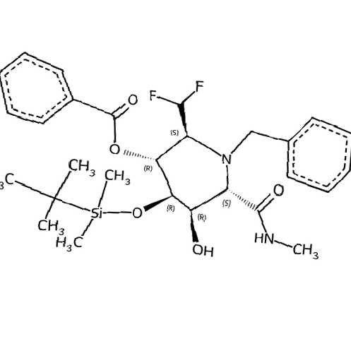 CNC(=O)[C@@H]1[C@@H](O)[C@@H](O[Si](C)(C)C(C)(C)C)[C@H](OC(=O)c2ccccc2)[C@@H](C(F)F)N1Cc1ccccc1